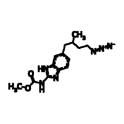 COC(=O)Nc1nc2ccc(CC(C)CCN=[N+]=[N-])cc2[nH]1